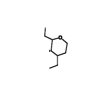 CCC1[C]C(CC)OCC1